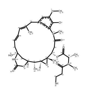 COc1cc2cc(c1Cl)N(C)C(=O)C[C@H](OC(=O)[C@H](C)N(C)C(=O)CCS)[C@]1(C)O[C@H]1[C@H](C)[C@@H]1C[C@](O)(C/C=C/C=C(\C)C2)NC(=O)O1